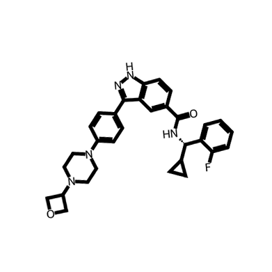 O=C(N[C@H](c1ccccc1F)C1CC1)c1ccc2[nH]nc(-c3ccc(N4CCN(C5COC5)CC4)cc3)c2c1